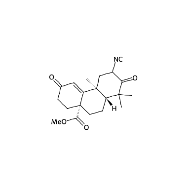 [C-]#[N+]C1C[C@]2(C)C3=CC(=O)CC[C@]3(C(=O)OC)CC[C@H]2C(C)(C)C1=O